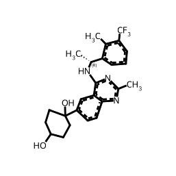 Cc1nc(N[C@H](C)c2cccc(C(F)(F)F)c2C)c2cc(C3(O)CCC(O)CC3)ccc2n1